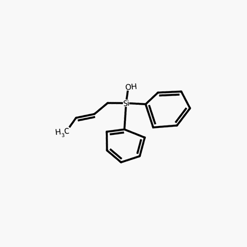 CC=CC[Si](O)(c1ccccc1)c1ccccc1